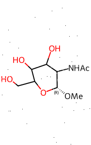 CO[C@@H]1OC(CO)C(O)C(O)C1NC(C)=O